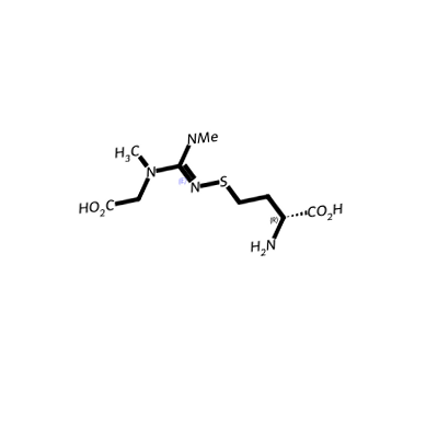 CN/C(=N\SCC[C@@H](N)C(=O)O)N(C)CC(=O)O